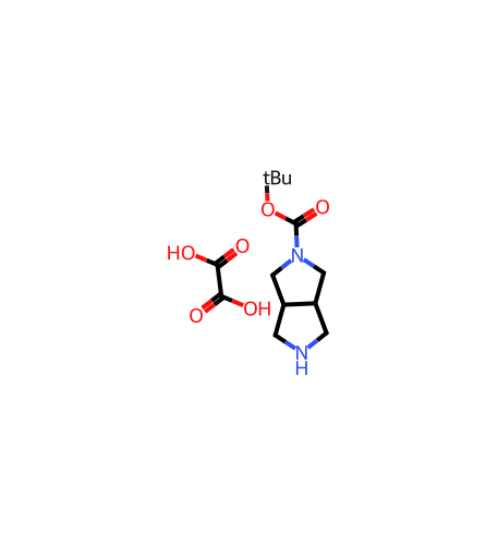 CC(C)(C)OC(=O)N1CC2CNCC2C1.O=C(O)C(=O)O